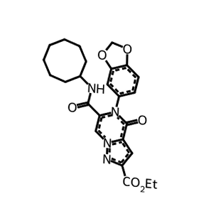 CCOC(=O)c1cc2c(=O)n(-c3ccc4c(c3)OCO4)c(C(=O)NC3CCCCCCC3)cn2n1